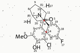 COc1cc(C(=O)N2[C@@H]3CC[C@H]2C[C@@H](c2ccc(F)cc2)C3)cc(Cl)c1O